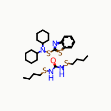 CCCCSNC(=O)NSCCCC.c1ccc2sc(SN(C3CCCCC3)C3CCCCC3)nc2c1